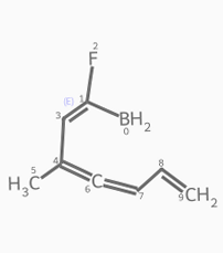 B/C(F)=C\C(C)=C=CC=C